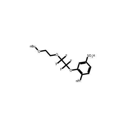 CCCCOCCOC(F)(F)C(F)(F)Oc1cc(S(=O)(=O)O)ccc1CCC